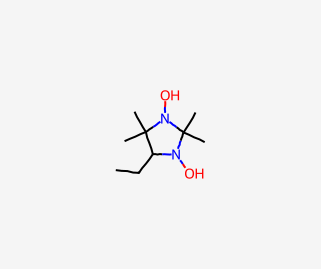 CCC1N(O)C(C)(C)N(O)C1(C)C